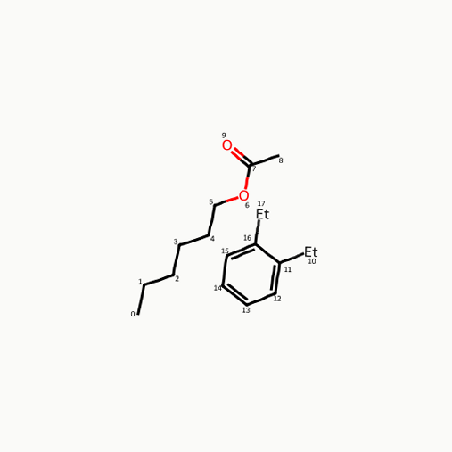 CCCCCCOC(C)=O.CCc1ccccc1CC